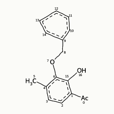 CC(=O)c1ccc(C)c(OCc2ccccc2)c1O